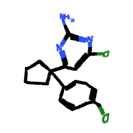 Nc1nc(Cl)cc(C2(c3ccc(Cl)cc3)CCCC2)n1